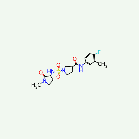 Cc1cc(NC(=O)C2CCN(S(=O)(=O)NC3CCN(C)C3=O)C2)ccc1F